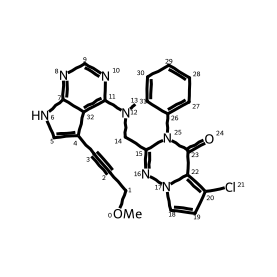 COCC#Cc1c[nH]c2ncnc(N(C)Cc3nn4ccc(Cl)c4c(=O)n3-c3ccccc3)c12